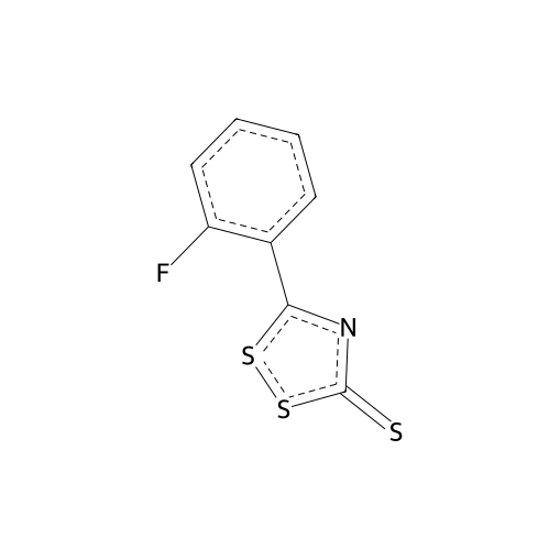 Fc1ccccc1-c1nc(=S)ss1